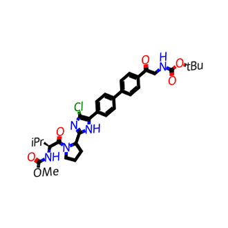 COC(=O)N[C@H](C(=O)N1CCCC1c1nc(Cl)c(-c2ccc(-c3ccc(C(=O)CNC(=O)OC(C)(C)C)cc3)cc2)[nH]1)C(C)C